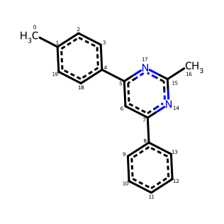 Cc1ccc(-c2cc(-c3ccccc3)nc(C)n2)cc1